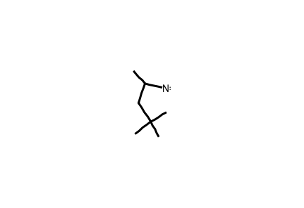 CC([N])CC(C)(C)C